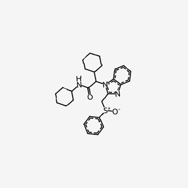 O=C(NC1CCCCC1)C(C1CCCCC1)n1c(C[S+]([O-])c2ccccc2)nc2ccccc21